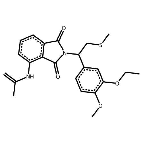 C=C(C)Nc1cccc2c1C(=O)N(C(CSC)c1ccc(OC)c(OCC)c1)C2=O